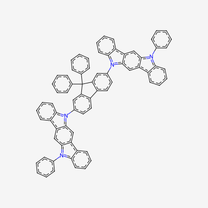 c1ccc(-n2c3ccccc3c3cc4c(cc32)c2ccccc2n4-c2ccc3c(c2)C(c2ccccc2)(c2ccccc2)c2cc(-n4c5ccccc5c5cc6c(cc54)c4ccccc4n6-c4ccccc4)ccc2-3)cc1